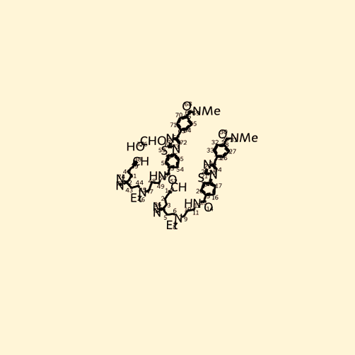 C#CCCC1(CCN(CC)CCCNC(=O)c2ccc3c(c2)sc2nc(-c4ccc(C(=O)NC)cc4)cn23)N=N1.C#CCCC1(CCN(CC)CCCNC(=O)c2ccc3c(c2)sc2nc(-c4ccc(C(=O)NC)cc4)cn23)N=N1.O=CO